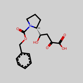 O=C(O)C(=O)CC(O)[C@H]1CCCN1C(=O)OCc1ccccc1